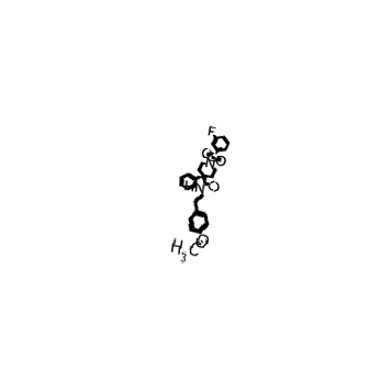 COc1ccc(CCNC(=O)C2(c3ccccc3)CCN(S(=O)(=O)c3cccc(F)c3)CC2)cc1